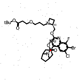 CC(C)(C)OC(=O)CCOCCCN1CC[C@H]1COc1nc(N2CC3CCC(C2)N3C(=O)OC(C)(C)C)c2cc(Cl)c(Br)c(F)c2n1